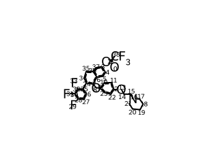 O=C(Oc1ccc2c(Oc3ccc(OCCN4CCCCC4)cc3)c(-c3ccc(F)c(F)c3F)ccc2c1)C(F)(F)F